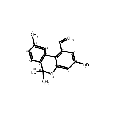 C=Cc1cc(CCC)cc2c1-c1cc(C)ccc1C(C)(C)O2